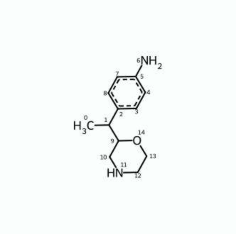 CC(c1ccc(N)cc1)C1CNCCO1